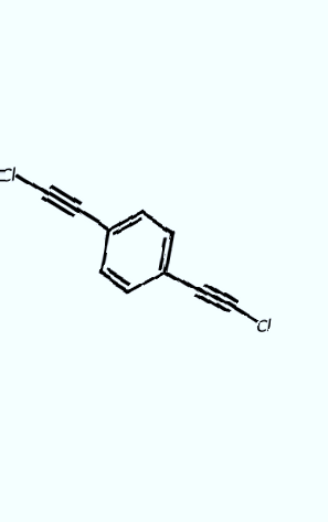 ClC#Cc1ccc(C#CCl)cc1